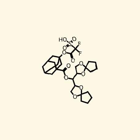 O=C(OC(C1COC2(CCCC2)O1)C1COC2(CCCC2)O1)C12CC3CC(CC(OC(=O)C(F)(F)S(=O)(=O)O)(C3)C1)C2